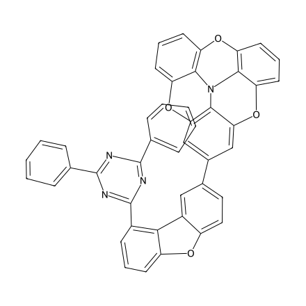 c1ccc(-c2nc(-c3ccccc3)nc(-c3cccc4oc5ccc(-c6cc7c8c(c6)Oc6cccc9c6N8c6c(cccc6O7)O9)cc5c34)n2)cc1